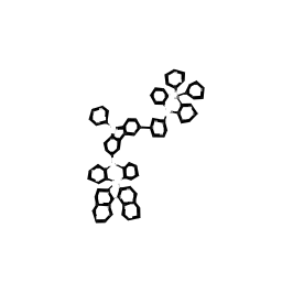 c1ccc(-n2c3ccc(-c4cccc(N5c6ccccc6[Si](c6ccccc6)(c6ccccc6)c6ccccc65)c4)cc3c3cc(N4c5ccccc5[Si](c5ccc6ccccc6c5)(c5ccc6ccccc6c5)c5ccccc54)ccc32)cc1